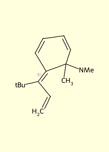 C=C/C(=C1/C=CC=CC1(C)NC)C(C)(C)C